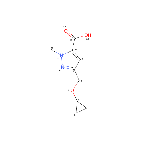 Cn1nc(COC2CC2)cc1C(=O)O